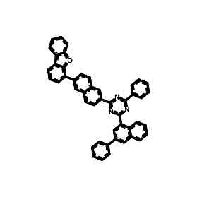 c1ccc(-c2cc(-c3nc(-c4ccccc4)nc(-c4ccc5cc(-c6cccc7c6oc6ccccc67)ccc5c4)n3)c3ccccc3c2)cc1